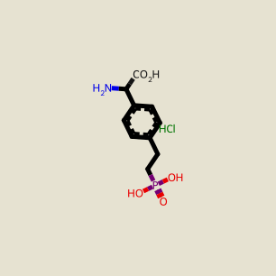 Cl.NC(C(=O)O)c1ccc(CCP(=O)(O)O)cc1